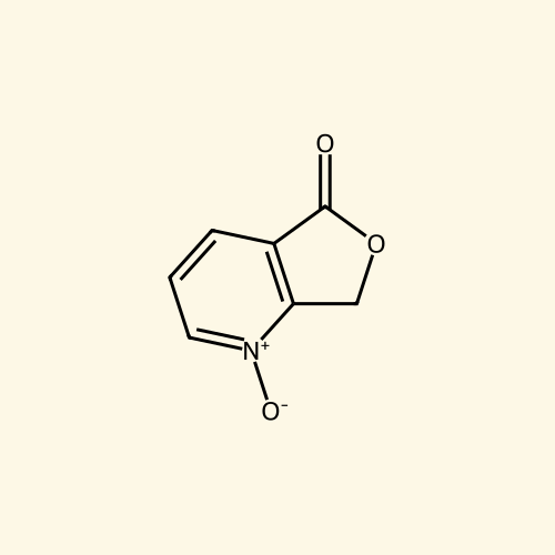 O=C1OCc2c1ccc[n+]2[O-]